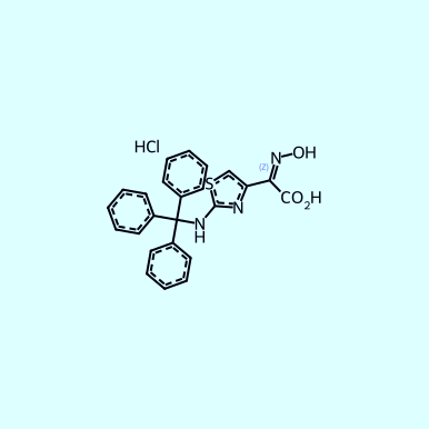 Cl.O=C(O)/C(=N\O)c1csc(NC(c2ccccc2)(c2ccccc2)c2ccccc2)n1